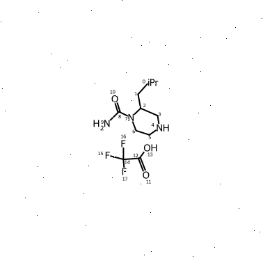 CC(C)CC1CNCCN1C(N)=O.O=C(O)C(F)(F)F